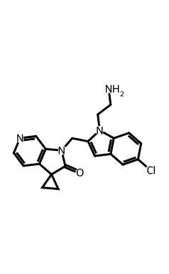 NCCn1c(CN2C(=O)C3(CC3)c3ccncc32)cc2cc(Cl)ccc21